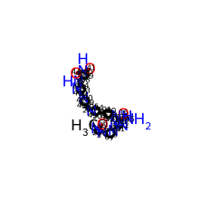 CN1CCN([C@@H]2CCCN(c3cnc(C(N)=O)c(Nc4ccc(C5CCN(CC6CCN(c7ccc(NC8CCC(=O)NC8=O)nc7)CC6)CC5)cc4)n3)C2)C1=O